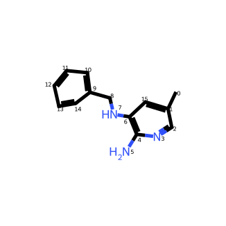 Cc1cnc(N)c(NCc2ccccc2)c1